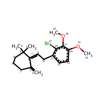 C=C1CCCC(C)(C)/C1=C/Cc1ccc(OC)c(OC)c1Br